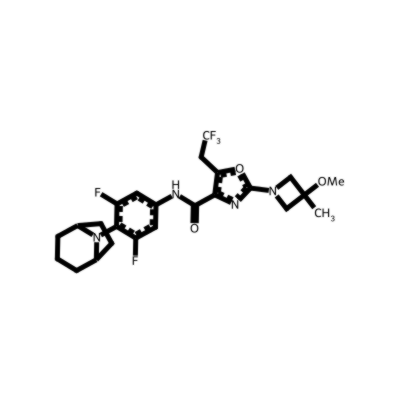 COC1(C)CN(c2nc(C(=O)Nc3cc(F)c(N4C5CCCC4CC5)c(F)c3)c(CC(F)(F)F)o2)C1